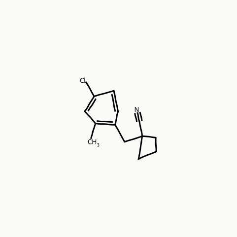 Cc1cc(Cl)ccc1CC1(C#N)CCC1